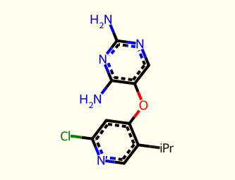 CC(C)c1cnc(Cl)cc1Oc1cnc(N)nc1N